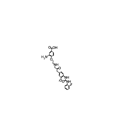 COc1cc(CC(=O)CNCCOc2ccc(C(=O)O)cc2N)ccc1NC(=O)Nc1ccccc1F